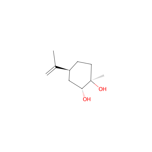 C=C(C)[C@H]1CC[C@@](C)(O)[C@H](O)C1